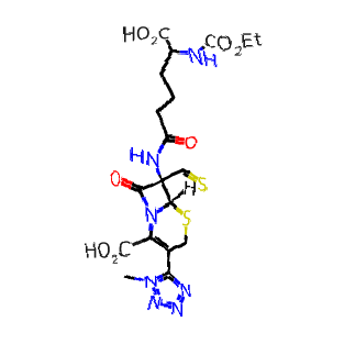 CCOC(=O)NC(CCCC(=O)N[C@]1(C=S)C(=O)N2C(C(=O)O)=C(c3nnnn3C)CS[C@H]21)C(=O)O